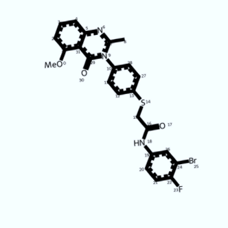 COc1cccc2nc(C)n(-c3ccc(SCC(=O)Nc4ccc(F)c(Br)c4)cc3)c(=O)c12